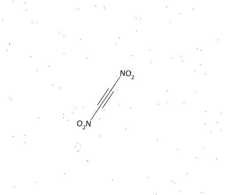 O=[N+]([O-])C#C[N+](=O)[O-]